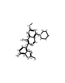 CSc1nc(N2CCCCC2)c2cnc(-c3ccc(F)c4sc(C)nc34)c(F)c2n1